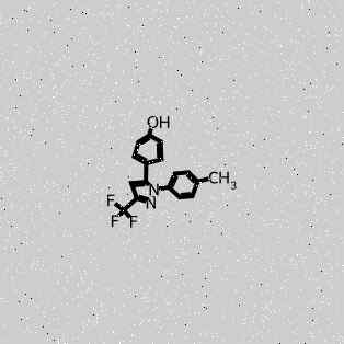 Cc1ccc(-n2nc(C(F)(F)F)cc2-c2ccc(O)cc2)cc1